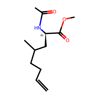 C=CCCC(C)C[C@@H](NC(C)=O)C(=O)OC